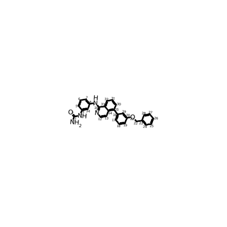 NC(=O)Nc1cccc(Nc2nccc3c(-c4cccc(OCc5ccccc5)c4)cccc23)c1